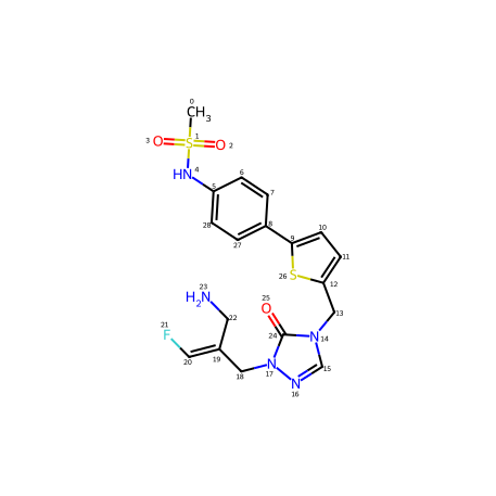 CS(=O)(=O)Nc1ccc(-c2ccc(Cn3cnn(C/C(=C/F)CN)c3=O)s2)cc1